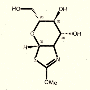 COC1=NC2[C@@H](O)[C@H](O)[C@@H](CO)O[C@H]2S1